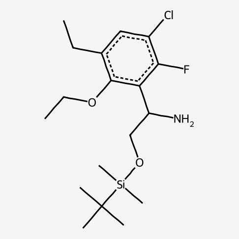 CCOc1c(CC)cc(Cl)c(F)c1C(N)CO[Si](C)(C)C(C)(C)C